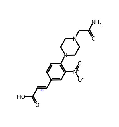 NC(=O)CN1CCN(c2ccc(/C=C/C(=O)O)cc2[N+](=O)[O-])CC1